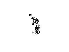 Cn1nc(-c2ccc(OCc3ccccc3)nc2OCc2ccccc2)c2ccc(OCCCN3CCN(C(=O)O)CC3C(F)(F)F)cc21